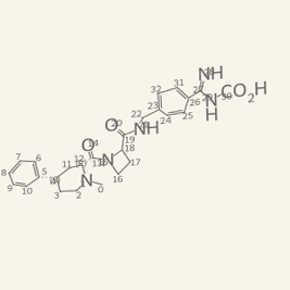 CN1CC[C@H](c2ccccc2)C[C@@H]1C(=O)N1CCC1C(=O)NCc1ccc(C(=N)NC(=O)O)cc1